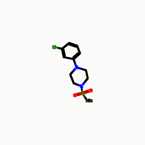 CCCCS(=O)(=O)N1CCN(c2cccc(Cl)c2)CC1